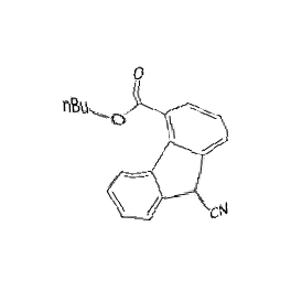 CCCCOC(=O)c1cccc2c1-c1ccccc1C2C#N